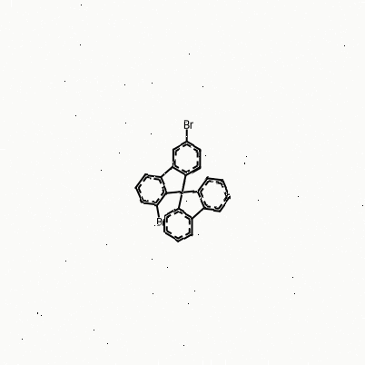 Brc1ccc2c(c1)-c1cccc(Br)c1C21c2ccccc2-c2ccccc21